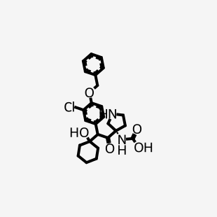 O=C(O)N[C@@]1(C(=O)C(c2ccc(OCc3ccccc3)c(Cl)c2)C2(O)CCCCC2)CCNC1